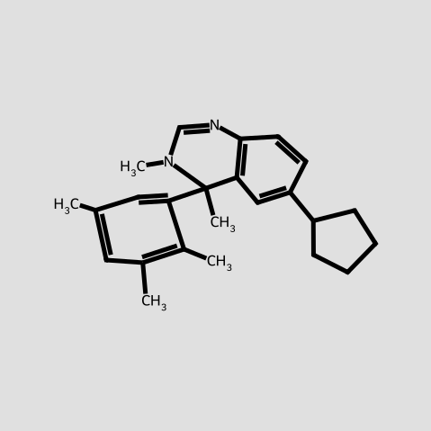 Cc1cc(C)c(C)c(C2(C)c3cc(C4CCCC4)ccc3N=CN2C)c1